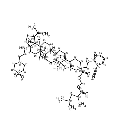 C=C(C)[C@@H]1CC[C@]2(NCCN3CCS(=O)(=O)CC3)CC[C@]3(C)[C@H](CC[C@@H]4[C@@]5(C)CC=C(C6=CC[C@@](COc7ncccc7C#N)(C(=O)OCOC(=O)C(C)CC(C)C)CC6)C(C)(C)[C@@H]5CC[C@]43C)[C@@H]12